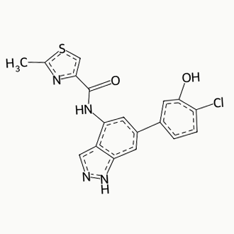 Cc1nc(C(=O)Nc2cc(-c3ccc(Cl)c(O)c3)cc3[nH]ncc23)cs1